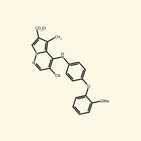 CCOC(=O)c1cn2ncc(C#N)c(Nc3ccc(Oc4ccccc4OC)cc3)c2c1C